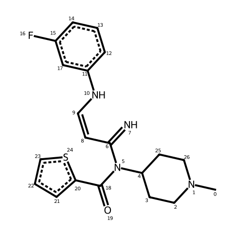 CN1CCC(N(C(=N)/C=C\Nc2cccc(F)c2)C(=O)c2cccs2)CC1